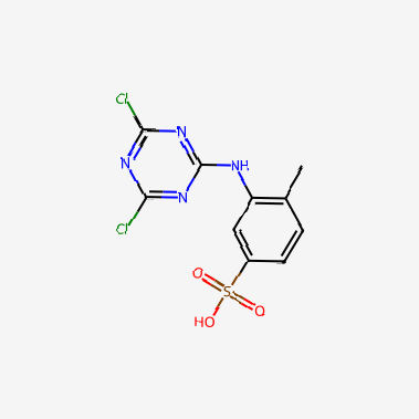 Cc1ccc(S(=O)(=O)O)cc1Nc1nc(Cl)nc(Cl)n1